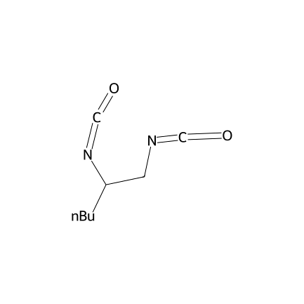 CCCCC(CN=C=O)N=C=O